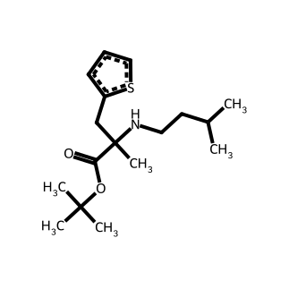 CC(C)CCNC(C)(Cc1cccs1)C(=O)OC(C)(C)C